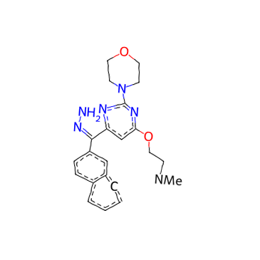 CNCCOc1cc(C(=NN)c2ccc3ccccc3c2)nc(N2CCOCC2)n1